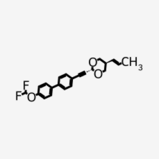 CC=C[C@H]1CO[C@H](C#Cc2ccc(-c3ccc(OC(F)F)cc3)cc2)OC1